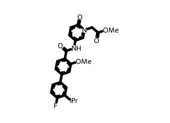 COC(=O)Cn1cc(NC(=O)c2ccc(-c3ccc(F)c(C(C)C)c3)cc2OC)ccc1=O